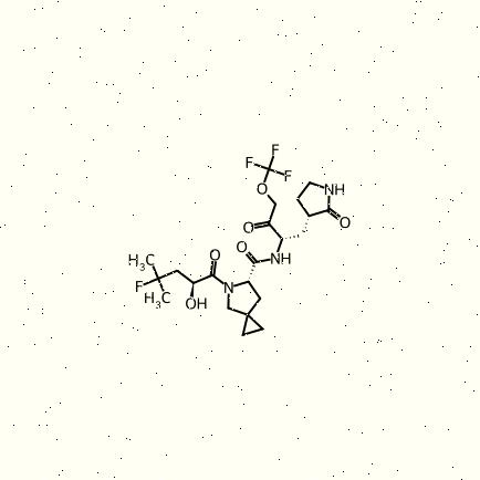 CC(C)(F)C[C@H](O)C(=O)N1CC2(CC2)C[C@H]1C(=O)N[C@@H](C[C@@H]1CCNC1=O)C(=O)COC(F)(F)F